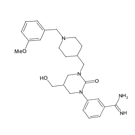 COc1cccc(CN2CCC(CN3CC(CO)CN(c4cccc(C(=N)N)c4)C3=O)CC2)c1